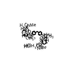 CNC(C)C(=S)N[C@H]1CCS[C@H]2CC(C)(C)[C@@H](C(=O)Nc3ccc(Cc4ccc(NC(=O)[C@H]5N6C(=O)[C@@H](NC(=S)C(C)NC)CCS[C@H]6CC5(C)C)cc4)cc3)N2C1=O.Cl.Cl